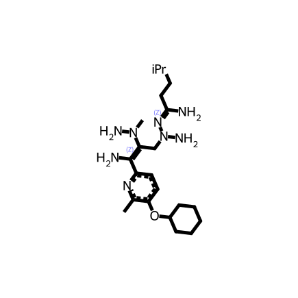 Cc1nc(/C(N)=C(\CN(N)/N=C(\N)CCC(C)C)N(C)N)ccc1OC1CCCCC1